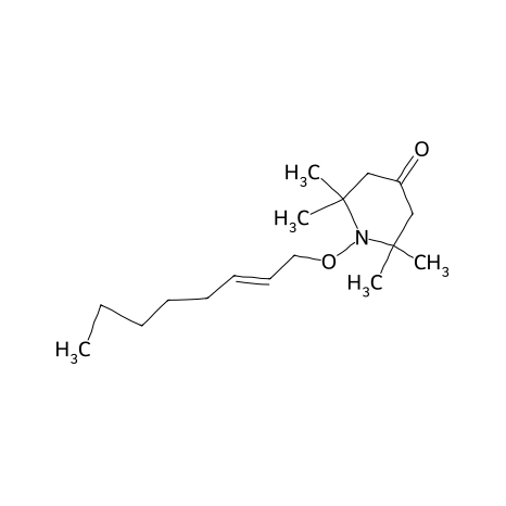 CCCCCC=CCON1C(C)(C)CC(=O)CC1(C)C